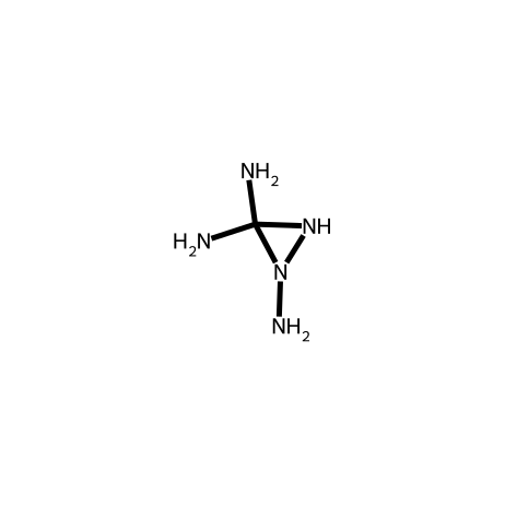 NN1NC1(N)N